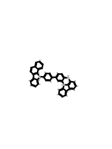 c1ccc2c(c1)ccc1c3ccccc3n(-c3ccc(-c4ccc5c(c4)-n4c6ccccc6c6cccc(c64)O5)cc3)c21